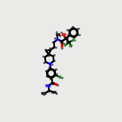 CC(C)NC(=O)c1ccc(N2CCC3(CC2)C[C@H]3CCN(C)C(=O)[C@](O)(c2ccccc2)C(F)(F)F)cc1Cl